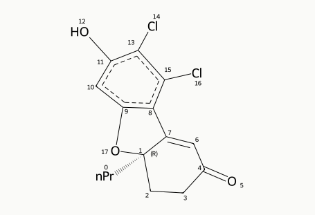 CCC[C@@]12CCC(=O)C=C1c1c(cc(O)c(Cl)c1Cl)O2